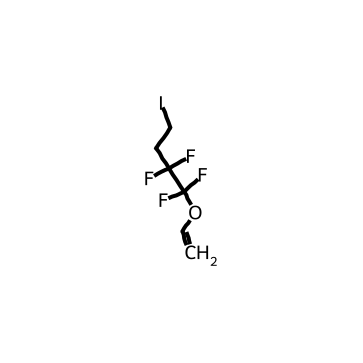 C=COC(F)(F)C(F)(F)CCI